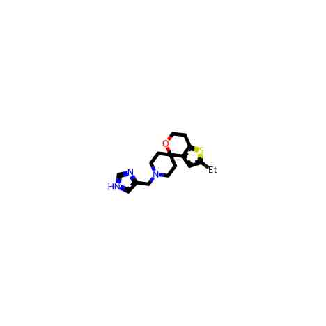 CCc1cc2c(s1)CCOC21CCN(Cc2c[nH]cn2)CC1